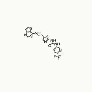 O=C(Nc1ccc(C(F)(F)F)nc1)Nc1ncc(CCNc2ncnc3ccsc23)s1